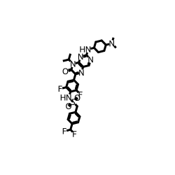 CC(C)n1c(=O)c(-c2cc(F)c(NS(=O)(=O)Cc3ccc(C(F)F)cc3)c(F)c2)nc2cnc(NC3CCC(N(C)C)CC3)nc21